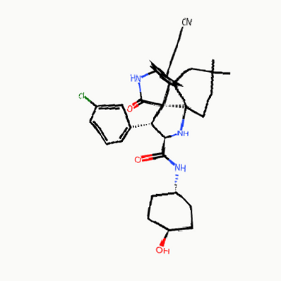 CC1(C)CCC2(CC1)N[C@@H](C(=O)N[C@H]1CC[C@H](O)CC1)[C@H](c1cccc(Cl)c1)[C@]21C(=O)Nc2cc(C#N)ccc21